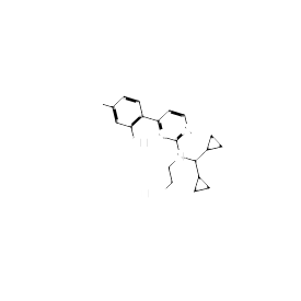 CCCN(c1nccc(-c2ccc(C)cc2C)n1)C(C1CC1)C1CC1